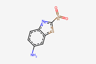 Nc1ccc2nc([SH](=O)=O)sc2c1